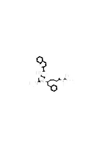 CC(C)[C@H](NC(=O)CC1OC1C(Cc1ccccc1)NC(=O)[C@@H](CC(N)=O)NC(=O)c1ccc2ccccc2n1)C(=O)O